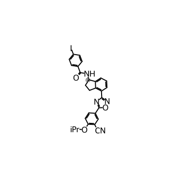 CC(C)Oc1ccc(-c2nc(-c3cccc4c3CC[C@H]4NC(=O)c3ccc(I)cc3)no2)cc1C#N